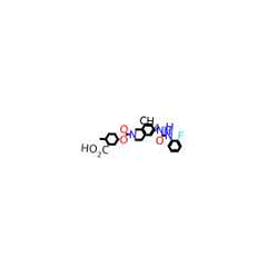 C.CC1CCC(OC(=O)N2CCc3cc(NC(=O)Nc4ccccc4F)ccc3C2)CC1C(=O)O